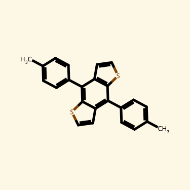 Cc1ccc(-c2c3ccsc3c(-c3ccc(C)cc3)c3ccsc23)cc1